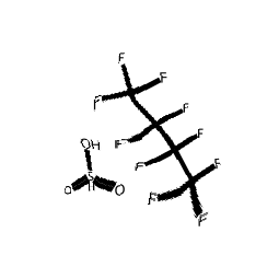 FC(F)(F)C(F)(F)C(F)(F)C(F)(F)F.O=[SH](=O)O